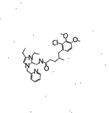 CCC1=CN(Cc2ccccn2)C(C[N]C(=O)CCC(C)Cc2ccc(OC)c(OC)c2Cl)N1CC